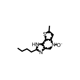 CCCCc1nc2c[n+]([O-])c3cc(C)sc3c2[nH]1